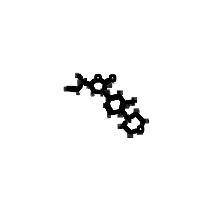 C=CN(C)C1CN(c2ccc(N3CCOCC3)c(F)c2)C(=O)O1